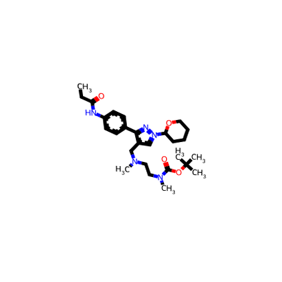 CCC(=O)Nc1ccc(-c2nn(C3CCCCO3)cc2CN(C)CCN(C)C(=O)OC(C)(C)C)cc1